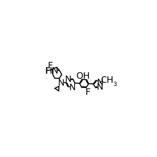 Cn1cc(-c2cc(O)c(-c3cnc(N(C4CC4)[C@@H]4CC5CC(F)(F)C(C4)N5)cn3)cc2F)cn1